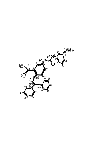 CCC(=O)c1cc(NC(=O)Nc2cccc(OC)c2)ccc1OC(c1ccccc1)c1ccccc1